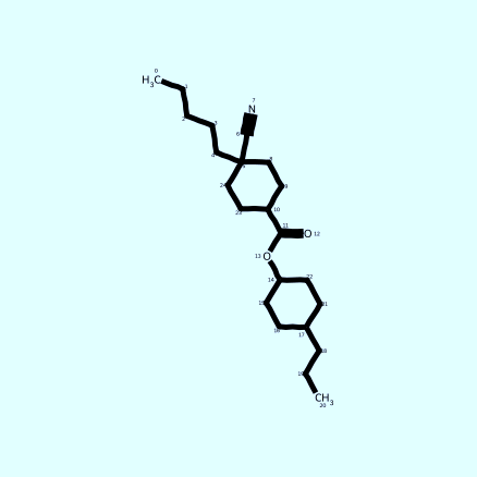 CCCCCC1(C#N)CCC(C(=O)OC2CCC(CCC)CC2)CC1